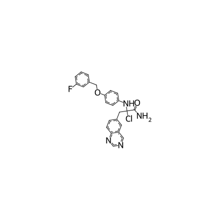 NC(=O)C(Cl)(Cc1ccc2ncncc2c1)Nc1ccc(OCc2cccc(F)c2)cc1